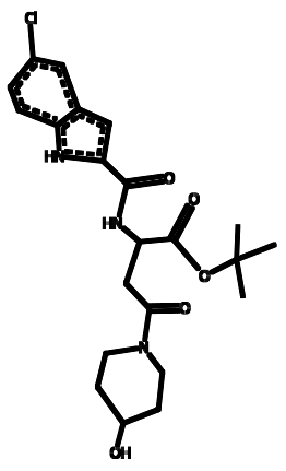 CC(C)(C)OC(=O)C(CC(=O)N1CCC(O)CC1)NC(=O)c1cc2cc(Cl)ccc2[nH]1